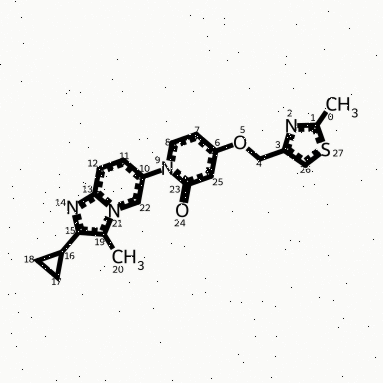 Cc1nc(COc2ccn(-c3ccc4nc(C5CC5)c(C)n4c3)c(=O)c2)cs1